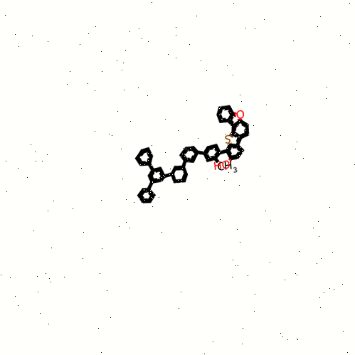 Cc1cc(-c2cccc(C3=CC(c4cc(-c5ccccc5)cc(-c5ccccc5)c4)CC=C3)c2)ccc1-c1c(O)ccc2c1sc1c2ccc2oc3ccccc3c21